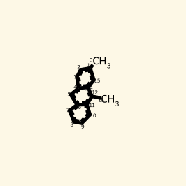 Cc1ccc2cc3ccccc3c(C)c2c1